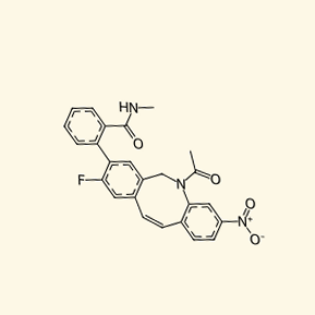 CNC(=O)c1ccccc1-c1cc2c(cc1F)C=Cc1ccc([N+](=O)[O-])cc1N(C(C)=O)C2